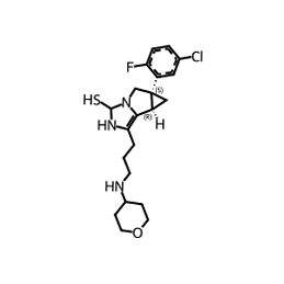 Fc1ccc(Cl)cc1[C@]12C[C@H]1C1=C(CCCNC3CCOCC3)NC(S)N1C2